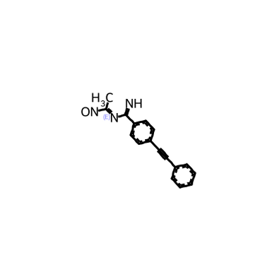 C/C(N=O)=N\C(=N)c1ccc(C#Cc2ccccc2)cc1